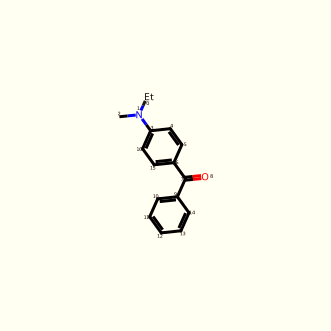 CCN(C)c1ccc(C(=O)c2ccccc2)cc1